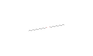 CCCCCCCCCCC[CH]OCCCCCCCCCC